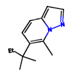 CCC(C)(C)c1ccc2ccnn2c1C